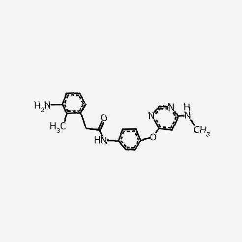 CNc1cc(Oc2ccc(NC(=O)Cc3cccc(N)c3C)cc2)ncn1